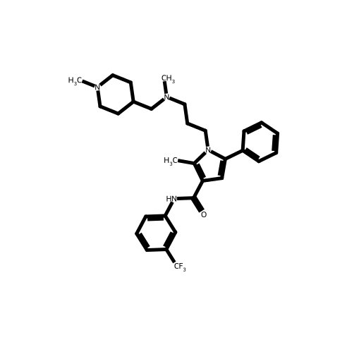 Cc1c(C(=O)Nc2cccc(C(F)(F)F)c2)cc(-c2ccccc2)n1CCCN(C)CC1CCN(C)CC1